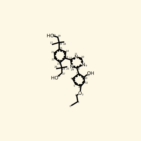 CCCOc1ccc(-c2ncnc(-c3cc(C(C)(C)CO)ccc3C(C)(C)CO)n2)c(O)c1